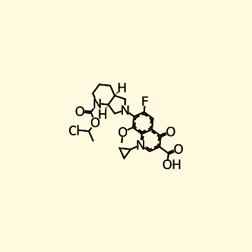 COc1c(N2C[C@@H]3CCCN(C(=O)OC(C)Cl)[C@@H]3C2)c(F)cc2c(=O)c(C(=O)O)cn(C3CC3)c12